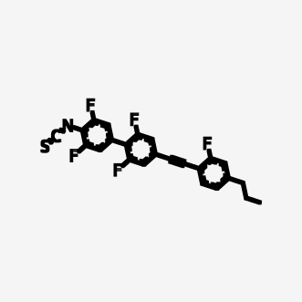 CCCc1ccc(C#Cc2cc(F)c(-c3cc(F)c(N=C=S)c(F)c3)c(F)c2)c(F)c1